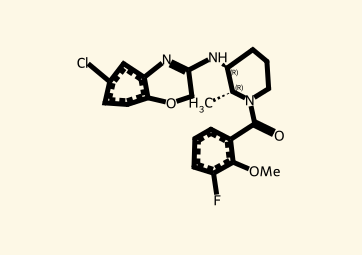 COc1c(F)cccc1C(=O)N1CCC[C@@H](NC2=Nc3cc(Cl)ccc3OC2)[C@H]1C